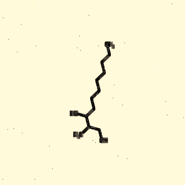 CCCCCCCCC(O)C(C)CO